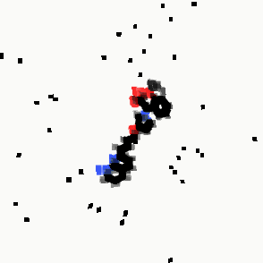 COc1ccccc1C(C(=O)O)N1CCC(OCCCCc2ccc3c(n2)NCCC3)C1